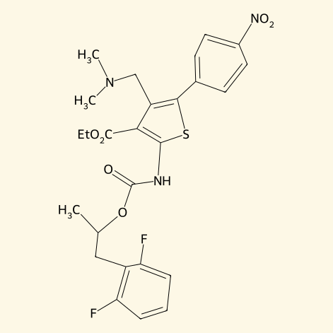 CCOC(=O)c1c(NC(=O)OC(C)Cc2c(F)cccc2F)sc(-c2ccc([N+](=O)[O-])cc2)c1CN(C)C